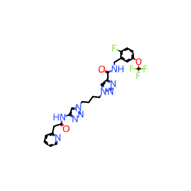 O=C(Cc1ccccn1)Nc1cn(CCCCn2cc(C(=O)NCc3cc(OC(F)(F)F)ccc3F)nn2)nn1